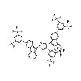 FC(F)(F)c1cc(-c2ccc3c(c2)c2ccccc2n3-c2cc(-c3cc(C(F)(F)F)cc(C(F)(F)F)c3)c(-n3c4ccccc4c4cc(-c5cc(C(F)(F)F)cc(C(F)(F)F)c5)ccc43)cn2)cc(C(F)(F)F)c1